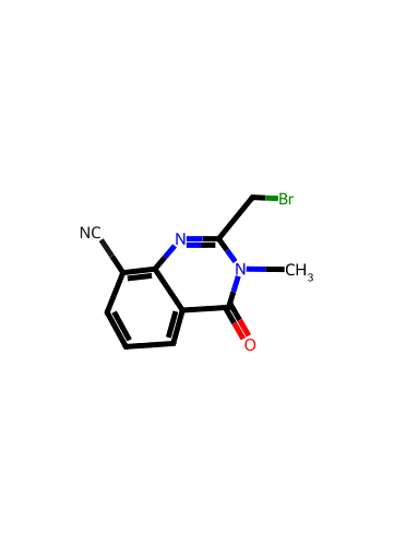 Cn1c(CBr)nc2c(C#N)cccc2c1=O